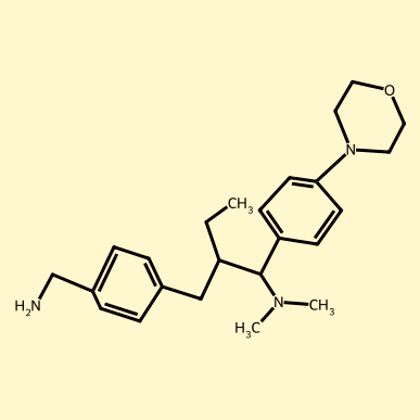 CCC(Cc1ccc(CN)cc1)C(c1ccc(N2CCOCC2)cc1)N(C)C